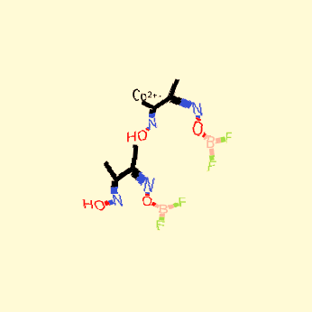 CC(=NO)C(C)=NOB(F)F.CC(=NO)C(C)=NOB(F)F.[Co+2]